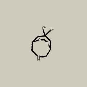 CC(C)C1(C(C)C)CC2CCCC(CNC2)C1